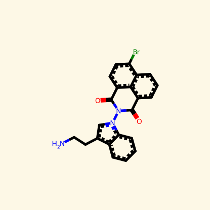 NCCc1cn(N2C(=O)c3cccc4c(Br)ccc(c34)C2=O)c2ccccc12